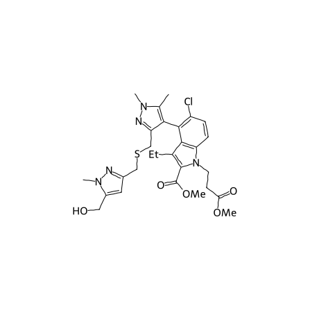 CCc1c(C(=O)OC)n(CCC(=O)OC)c2ccc(Cl)c(-c3c(CSCc4cc(CO)n(C)n4)nn(C)c3C)c12